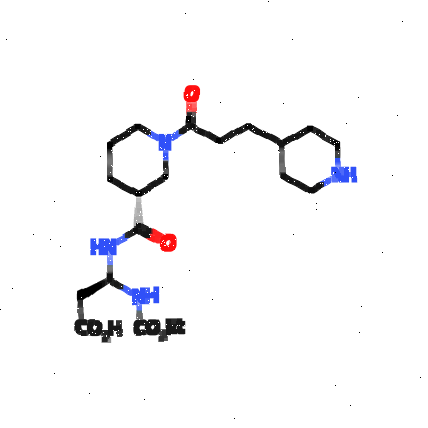 CCOC(=O)N[C@@H](CC(=O)O)NC(=O)[C@@H]1CCCN(C(=O)CCC2CCNCC2)C1